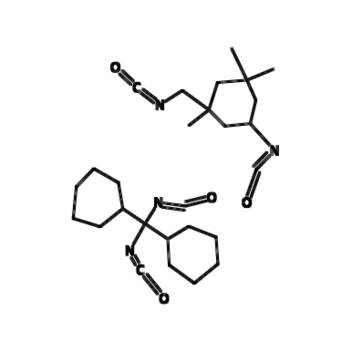 CC1(C)CC(N=C=O)CC(C)(CN=C=O)C1.O=C=NC(N=C=O)(C1CCCCC1)C1CCCCC1